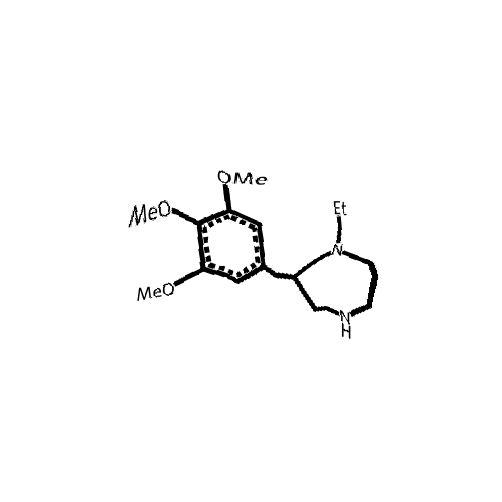 CCN1CCNCC1c1cc(OC)c(OC)c(OC)c1